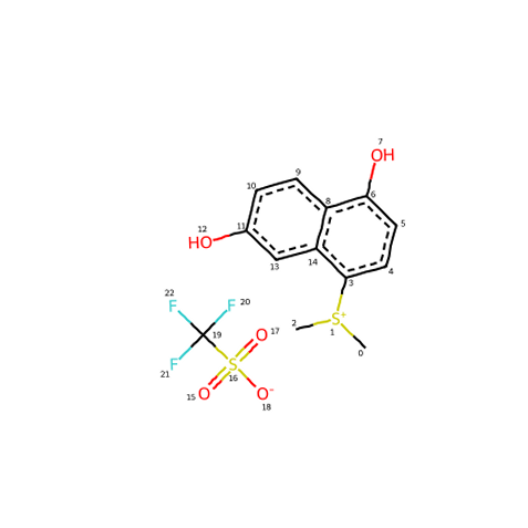 C[S+](C)c1ccc(O)c2ccc(O)cc12.O=S(=O)([O-])C(F)(F)F